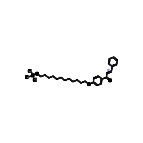 O=C(/C=C/c1ccccc1)c1ccc(OCCCCCCCCCCCCO[Si](Cl)(Cl)Cl)cc1